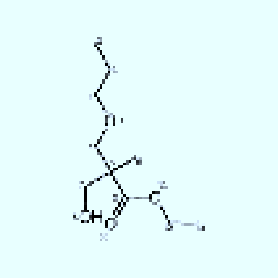 CCCOCC(C)(CO)C(=O)OCC